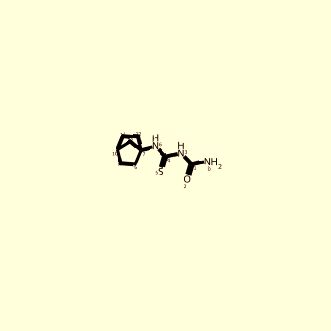 NC(=O)NC(=S)NC12CCC(CC1)C2